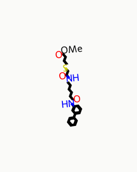 COC(=O)CCCSCC(=O)NCCCCCC(=O)Nc1cccc(-c2ccccc2)c1